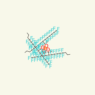 CCCC(F)(F)C(F)(F)C(F)(F)C(F)(F)C(F)(F)C(F)(C(F)(F)OP(=O)(OC(F)(F)C(F)(C(F)(F)C(F)(F)C(F)(F)C(F)(F)C(F)(F)CCC)C(F)(F)C(F)(F)C(F)(F)C(F)(F)C(F)(F)C(F)(F)F)OC(F)(F)C(F)(C(F)(F)C(F)(F)C(F)(F)C(F)(F)C(F)(F)CCC)C(F)(F)C(F)(F)C(F)(F)C(F)(F)C(F)(F)C(F)(F)F)C(F)(F)C(F)(F)C(F)(F)C(F)(F)C(F)(F)C(F)(F)F